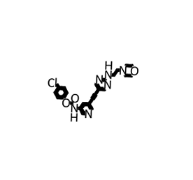 O=C(Nc1cncc(C#Cc2cnc(NCCN3CCOCC3)nc2)c1)Oc1ccc(Cl)cc1